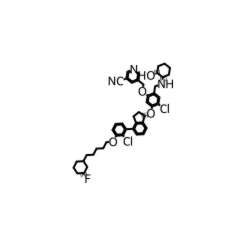 N#Cc1cncc(COc2cc(O[C@H]3CCc4c(-c5cccc(OCCCCCC6CCC[C@@H](F)C6)c5Cl)cccc43)c(Cl)cc2CN[C@@H]2CCCC[C@@H]2O)c1